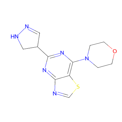 C1=NNCC1c1nc(N2CCOCC2)c2scnc2n1